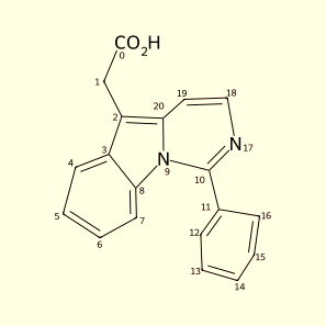 O=C(O)Cc1c2ccccc2n2c(-c3ccccc3)nccc12